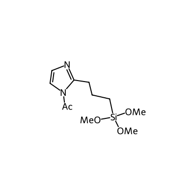 CO[Si](CCCc1nccn1C(C)=O)(OC)OC